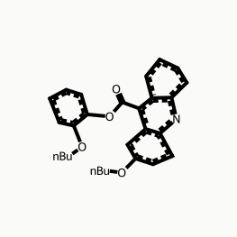 CCCCOc1ccc2nc3ccccc3c(C(=O)Oc3ccccc3OCCCC)c2c1